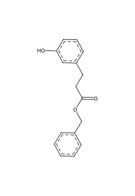 O=C(CCc1cccc(O)c1)OCc1ccccc1